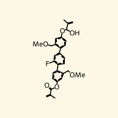 C=C(C)C(=O)Oc1ccc(-c2ccc(-c3ccc(OC(O)C(=C)C)cc3COC)cc2F)c(COC)c1